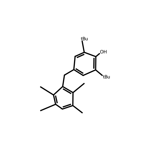 Cc1[c]c(C)c(C)c(Cc2cc(C(C)(C)C)c(O)c(C(C)(C)C)c2)c1C